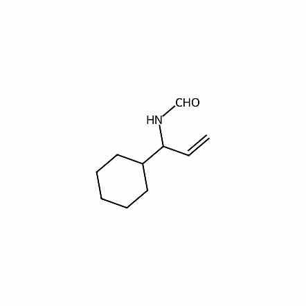 C=CC(NC=O)C1CCCCC1